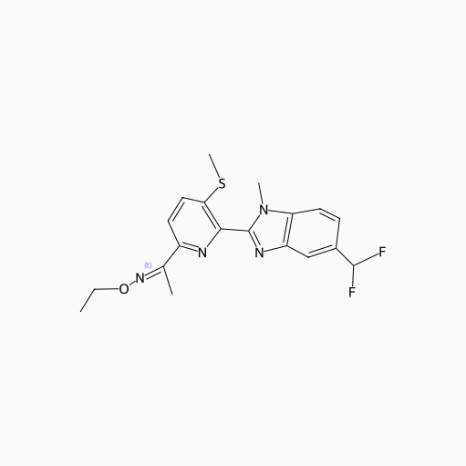 CCO/N=C(\C)c1ccc(SC)c(-c2nc3cc(C(F)F)ccc3n2C)n1